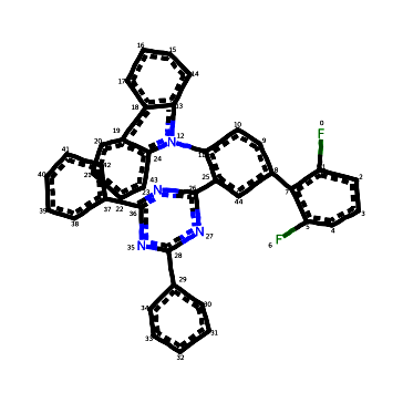 Fc1cccc(F)c1-c1ccc(-n2c3ccccc3c3ccccc32)c(-c2nc(-c3ccccc3)nc(-c3ccccc3)n2)c1